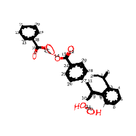 CC(C)c1ccccc1C(C)C.O=C(OOC(=O)c1ccccc1)c1ccccc1.OO